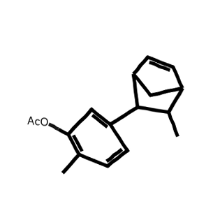 CC(=O)Oc1cc(C2C3C=CC(C3)C2C)ccc1C